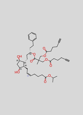 C#CCCCC(=O)OCC(C)(COC(=O)CCCC#C)C(=O)O[C@@H](CCc1ccccc1)CC[C@@H]1[C@@H](C/C=C\CCCC(=O)OC(C)C)[C@@H](O)C[C@H]1O